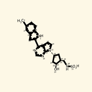 Cc1ccc2[nH]c(-c3ncnc4c3ccn4[C@@H]3C[C@@H](CNS(=O)(=O)O)[C@@H](O)C3)cc2c1